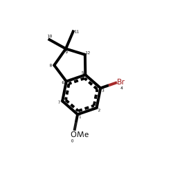 COc1cc(Br)c2c(c1)CC(C)(C)C2